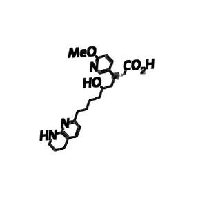 COc1ccc([C@H](CC(=O)O)CC(O)CCCCc2ccc3c(n2)NCCC3)cn1